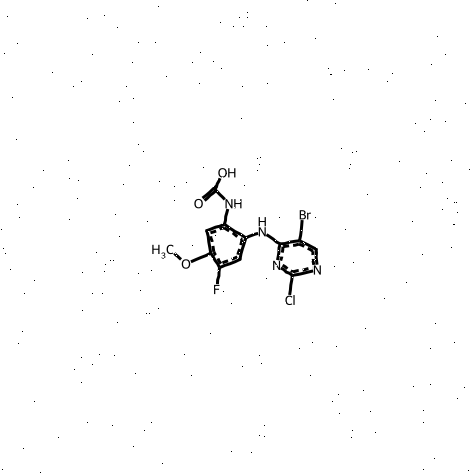 COc1cc(NC(=O)O)c(Nc2nc(Cl)ncc2Br)cc1F